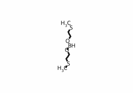 CSCCOBOCCSC